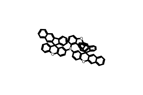 c1ccc2c(c1)Oc1ccc(N(c3ccc4c(c3)C3(c5cc6ccccc6cc5O4)c4ccccc4-c4ccccc43)c3cccc4oc5ccccc5c34)cc1C21c2ccccc2-c2cc3ccccc3cc21